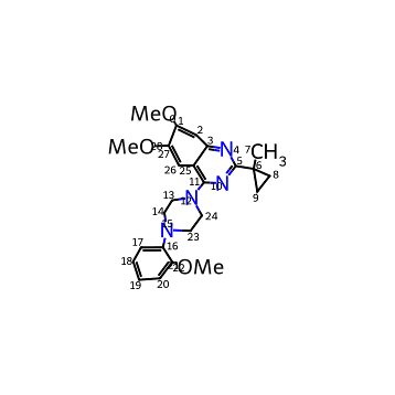 COc1cc2nc(C3(C)CC3)nc(N3CCN(c4ccccc4OC)CC3)c2cc1OC